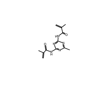 C=C(C)C(=O)Nc1nc(C)nc(NC(=O)C(=C)C)n1